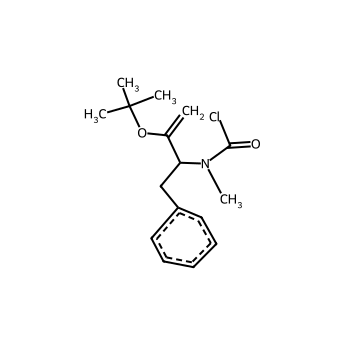 C=C(OC(C)(C)C)C(Cc1ccccc1)N(C)C(=O)Cl